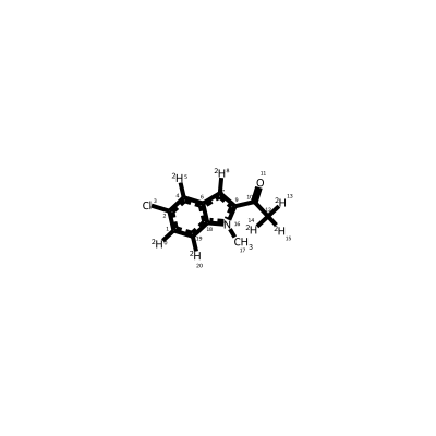 [2H]c1c(Cl)c([2H])c2c([2H])c(C(=O)C([2H])([2H])[2H])n(C)c2c1[2H]